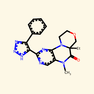 CCC12COCCN1c1nc(-c3[nH]nnc3-c3ccccc3)ncc1N(C)C2=O